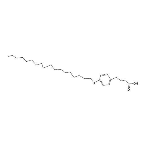 CCCCCCCCCCCCCCCCCCOc1ccc(CCCC(=O)O)cc1